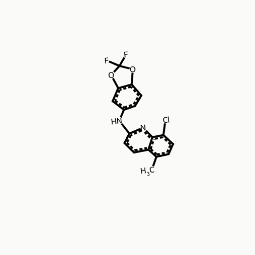 Cc1ccc(Cl)c2nc(Nc3ccc4c(c3)OC(F)(F)O4)ccc12